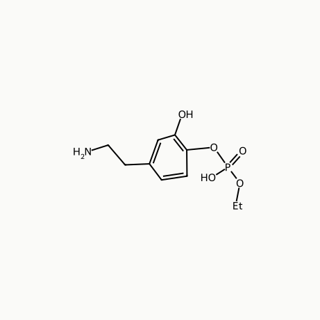 CCOP(=O)(O)Oc1ccc(CCN)cc1O